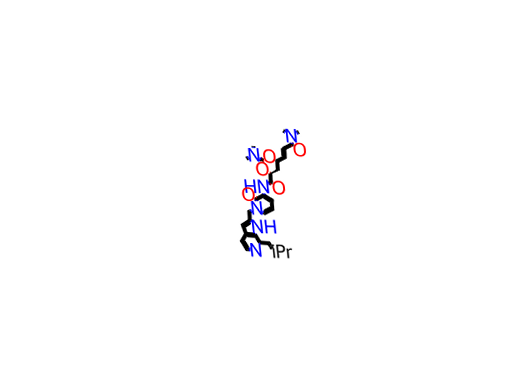 CC(C)Cc1nccc2cc(Cn3cccc(NC(=O)[C@H](CC/C=C/C(=O)N(C)C)OC(=O)N(C)C)c3=O)[nH]c12